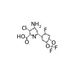 Nc1cc(-c2cc3c(cc2F)OC(F)(F)O3)nc(C(=O)O)c1Cl